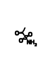 CC(=O)S(N)(=O)=O